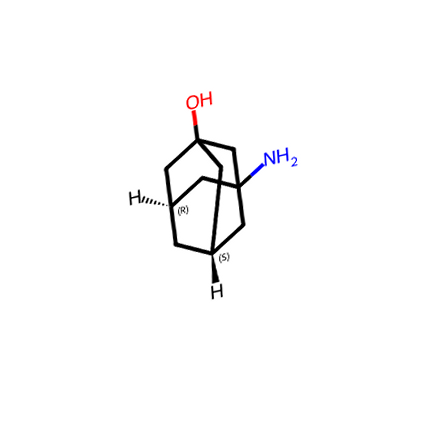 NC12C[C@H]3C[C@@H](C1)CC(O)(C3)C2